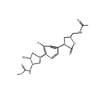 COC(=O)NC1CN(c2ccc(N3CC(CNC(C)=O)OC3=O)cc2F)CC1O